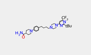 CC(C)(C)c1nc(N2CCN(CCCCc3ccc(N4CCC(C(N)=O)CC4)cc3)CC2)cc(C(F)(F)F)n1